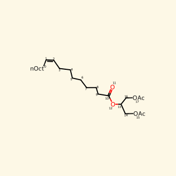 CCCCCCCC/C=C\CCCCCCCC(=O)OC(COC(C)=O)COC(C)=O